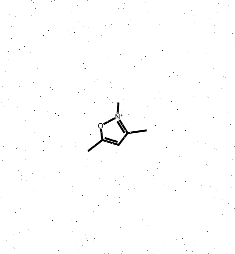 Cc1cc(C)[n+](C)o1